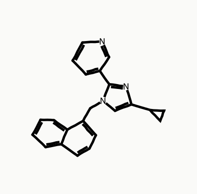 c1cncc(-c2nc(C3CC3)cn2Cc2cccc3ccccc23)c1